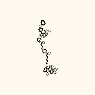 Nc1ncnc2c1c(-c1ccc(Oc3ccccc3)cc1)nn2C1CCCN(C(=O)CCCN2CCN(C(=O)CCCCCSc3cccc4c3C(=O)N(C3CCC(=O)NC3=O)C4=O)CC2)C1